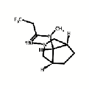 CN(C(=O)CC(F)(F)F)[C@H]1[C@@H]2CC[C@H]1CN(C(C)(C)C)C2